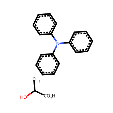 CC(O)C(=O)O.c1ccc(N(c2ccccc2)c2ccccc2)cc1